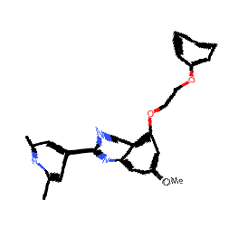 COc1cc(OCCOc2ccccc2)c2cnc(-c3cc(C)nc(C)c3)nc2c1